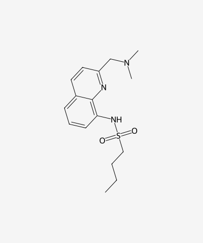 CCCCS(=O)(=O)Nc1cccc2ccc(CN(C)C)nc12